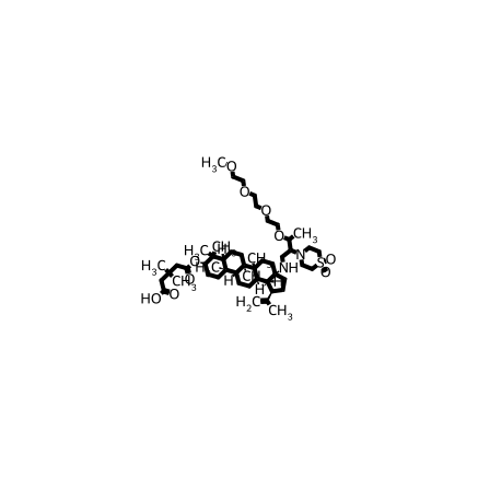 C=C(C)[C@@H]1CC[C@]2(NCC(C(C)OCCOCCOCCOC)N3CCS(=O)(=O)CC3)CC[C@]3(C)[C@H](CC[C@@H]4[C@@]5(C)CC[C@H](OC(=O)CC(C)(C)CC(=O)O)C(C)(C)[C@@H]5CC[C@]43C)[C@@H]12